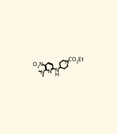 CCOC(=O)N1CCC(Nc2ccc([N+](=O)[O-])c(N(C)C)n2)CC1